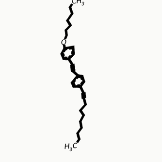 CCCCCCCCC#Cc1ccc(C#Cc2ccc(OCCCCCCC)cc2)cc1